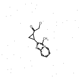 Cc1c(C2CC2C(=O)CCl)nc2ccccn12